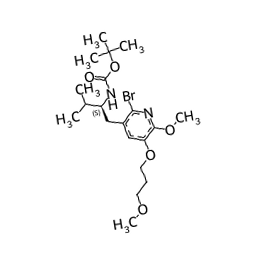 COCCCOc1cc(C[C@H](NC(=O)OC(C)(C)C)C(C)C)c(Br)nc1OC